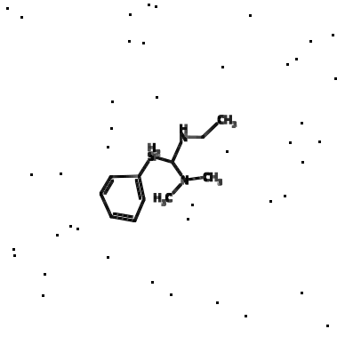 CCNC([SiH2]c1ccccc1)N(C)C